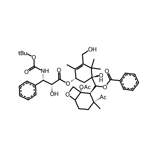 CC(=O)O[C@@]12COC1CC[C@@](C)(C(C)=O)[C@@H]2C(OC(=O)c1ccccc1)[C@]1(O)C[C@H](OC(=O)[C@H](O)[C@@H](NC(=O)OC(C)(C)C)c2ccccc2)C(C)=C(CO)C1(C)C